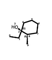 CC[C@]1(O)CCCC[C@H]1C